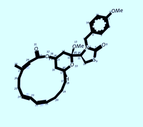 COc1ccc(CN2C(=O)SC[C@H]2[C@@]2(OC)C[C@H]3C[C@@H](CCC/C=C\C=C\CC/C(C)=C\C(=O)O3)O2)cc1